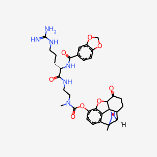 CN(CCNC(=O)[C@H](CCCNC(=N)N)NC(=O)c1ccc2c(c1)OCO2)C(=O)Oc1ccc2c3c1OC1C(=O)CCC4[C@@H](C2)N(C)C[C@]314